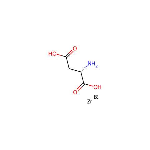 N[C@@H](CC(=O)O)C(=O)O.[B].[Zr]